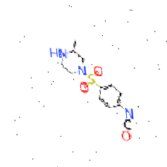 CC1CN(S(=O)(=O)c2ccc(N=C=O)cc2)CCN1